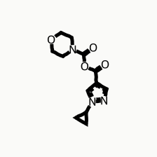 O=C(OC(=O)N1CCOCC1)c1cnn(C2CC2)c1